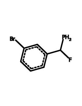 FC(P)c1cccc(Br)c1